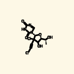 C[C@@H](O)[C@H]1O[C@@H](n2cnc(=O)[nH]c2=O)C(Cl)(C#CCl)C1O